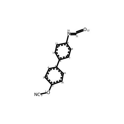 N#COc1ccc(-c2ccc(N=C=O)cc2)cc1